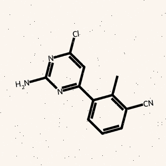 Cc1c(C#N)cccc1-c1cc(Cl)nc(N)n1